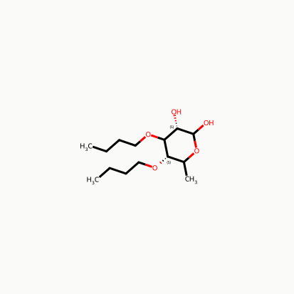 CCCCOC1[C@H](O)C(O)OC(C)[C@@H]1OCCCC